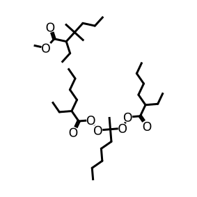 CCCC(C)(C)C(CC)C(=O)OC.CCCCCC(C)(OOC(=O)C(CC)CCCC)OOC(=O)C(CC)CCCC